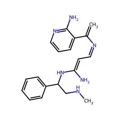 C=C(/N=C\C=C(/N)NC(CNC)c1ccccc1)c1cccnc1N